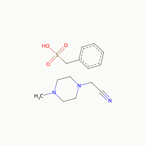 CN1CCN(CC#N)CC1.O=S(=O)(O)Cc1ccccc1